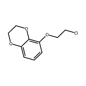 ClCCOc1cccc2c1OCCO2